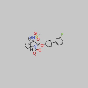 COC(=O)N1[C@@H]2CCC[C@@H]2[C@H](NS(C)(=O)=O)[C@@H]1COC1CCC(c2cccc(F)c2)CC1